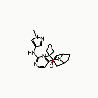 Cn1cc(Nc2nccc(C3=CC4CCC(C3)N4C(=O)C3(C)COC3)n2)cn1